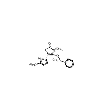 CC[C@H]1O[C@@H](c2ccc(OC)[nH]2)[C@](C)(OCc2ccccc2)[C@@H]1C